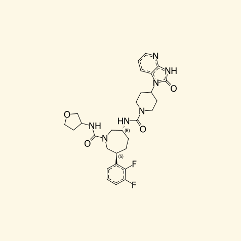 O=C(NC1CCOC1)N1C[C@H](NC(=O)N2CCC(n3c(=O)[nH]c4ncccc43)CC2)CC[C@@H](c2cccc(F)c2F)C1